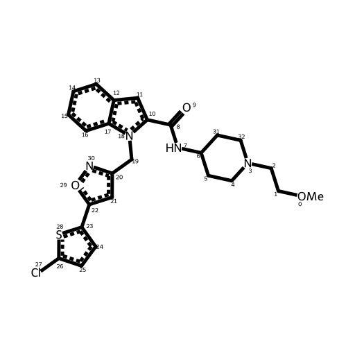 COCCN1CCC(NC(=O)c2cc3ccccc3n2Cc2cc(-c3ccc(Cl)s3)on2)CC1